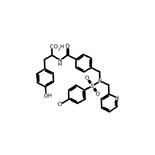 O=C(NC(Cc1ccc(O)cc1)C(=O)O)c1ccc(CN(Cc2ccccn2)S(=O)(=O)c2ccc(Cl)cc2)cc1